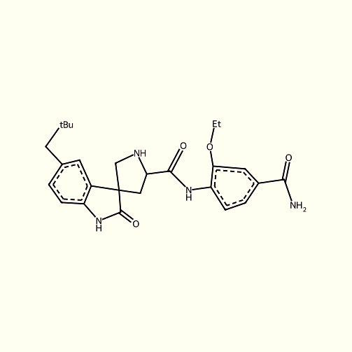 CCOc1cc(C(N)=O)ccc1NC(=O)C1CC2(CN1)C(=O)Nc1ccc(CC(C)(C)C)cc12